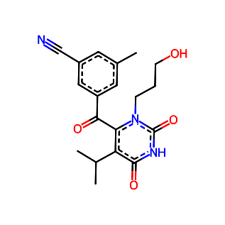 Cc1cc(C#N)cc(C(=O)c2c(C(C)C)c(=O)[nH]c(=O)n2CCCO)c1